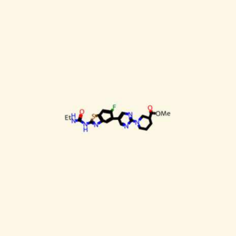 CCNC(=O)Nc1nc2cc(-c3cnc(N4CCCC(C(=O)OC)C4)nc3)c(F)cc2s1